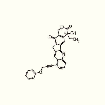 CC[C@@]1(O)C(=O)OCc2c1cc1n(c2=O)Cc2cc3c(C#CCOc4ccccc4)cccc3nc2-1